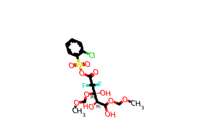 COCOC(O)[C@@H](O)[C@@](O)(OCOC)C(F)(F)C(=O)OS(=O)(=O)c1ccccc1Cl